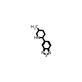 CC1CCC(c2ccc3nsnc3c2)NC1